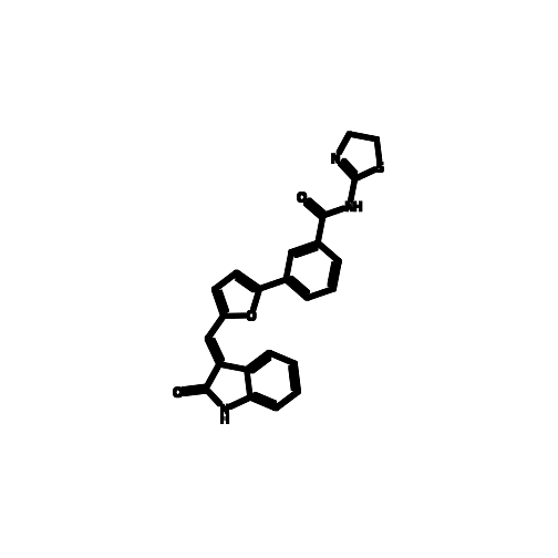 O=C1Nc2ccccc2/C1=C\c1ccc(-c2cccc(C(=O)NC3=NCCS3)c2)o1